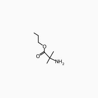 CCCOC(=O)C(C)(C)N